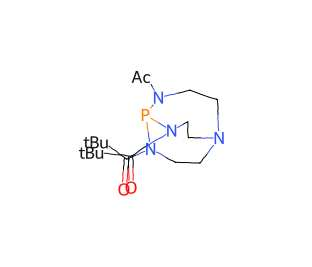 CC(=O)N1CCN2CCN(C(=O)C(C)(C)C)P1N(C(=O)C(C)(C)C)CC2